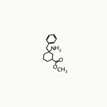 COC(=O)C1CCCC(N)(Cc2ccccc2)C1